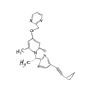 Cc1cc(OCc2ncccn2)cc(=O)n1C(C)c1ncc(C#CC2CC2)cn1